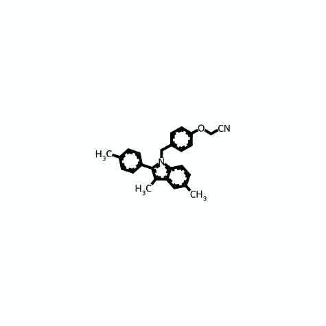 Cc1ccc(-c2c(C)c3cc(C)ccc3n2Cc2ccc(OCC#N)cc2)cc1